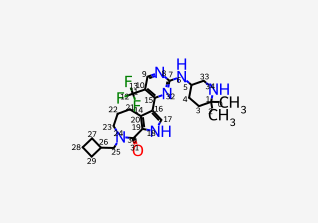 CC1(C)CCC(Nc2ncc(C(F)(F)F)c(-c3c[nH]c4c3CCCN(CC3CCC3)C4=O)n2)CN1